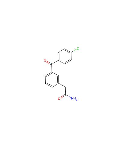 NC(=O)Cc1cccc(C(=O)c2ccc(Cl)cc2)c1